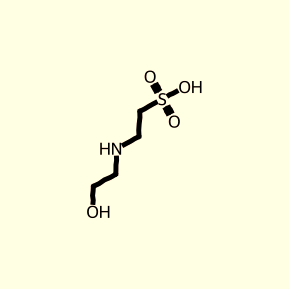 O=S(=O)(O)CCNCCO